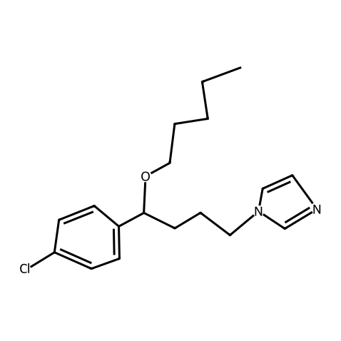 CCCCCOC(CCCn1ccnc1)c1ccc(Cl)cc1